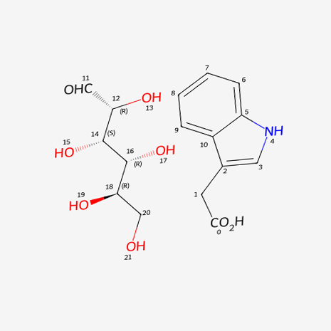 O=C(O)Cc1c[nH]c2ccccc12.O=C[C@H](O)[C@@H](O)[C@H](O)[C@H](O)CO